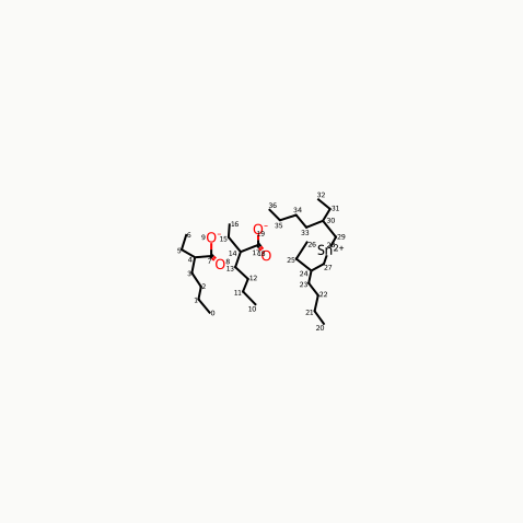 CCCCC(CC)C(=O)[O-].CCCCC(CC)C(=O)[O-].CCCCC(CC)[CH2][Sn+2][CH2]C(CC)CCCC